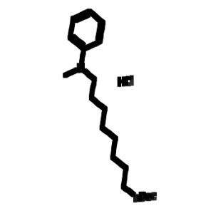 CCCCCCCCCCCCCCCCCCN(C)c1ccccc1.Cl